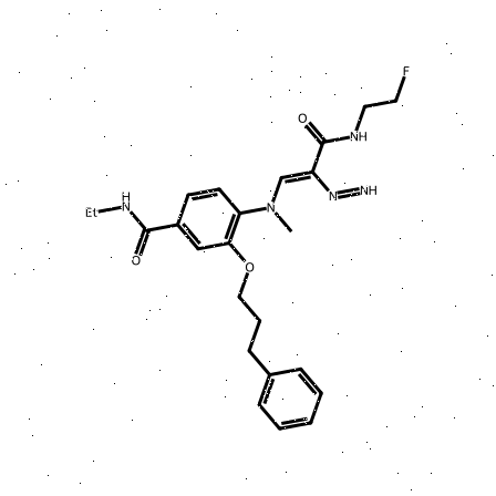 CCNC(=O)c1ccc(N(C)/C=C(\N=N)C(=O)NCCF)c(OCCCc2ccccc2)c1